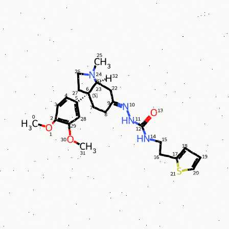 COc1ccc([C@@]23CCC(=NNC(=O)NCCc4cccs4)C[C@@H]2N(C)CC3)cc1OC